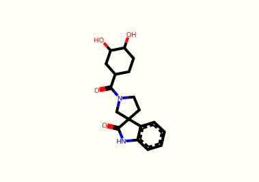 O=C(C1CCC(O)C(O)C1)N1CCC2(C1)C(=O)Nc1ccccc12